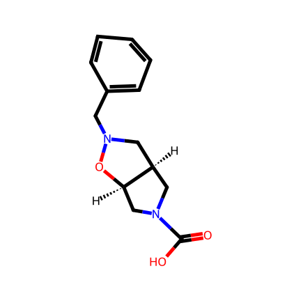 O=C(O)N1C[C@@H]2CN(Cc3ccccc3)O[C@@H]2C1